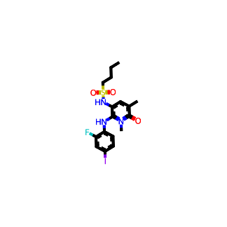 CCCCS(=O)(=O)Nc1cc(C)c(=O)n(C)c1Nc1ccc(I)cc1F